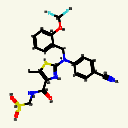 Cc1sc(N(Cc2ccccc2OC(F)F)c2ccc(C#N)cc2)nc1C(=O)NC[SH](=O)=O